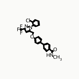 CNC(=O)c1ccc(-c2ccc(OCc3cc(C(F)(F)F)nn3-c3ccccc3Cl)cc2)cc1